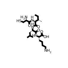 CC[C@H](C)[C@H](NC(=O)[C@@H](N)CS)C(=O)N[C@@H](CC(C)C)C(=O)N[C@@H](CCCCN)C(=O)O